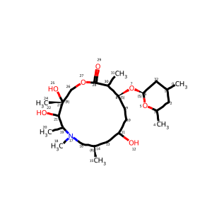 CC1CC(C)O[C@@H](O[C@H]2CCC(O)C[C@@H](C)CN(C)C(C)C(O)[C@](C)(O)COC(=O)C2C)C1